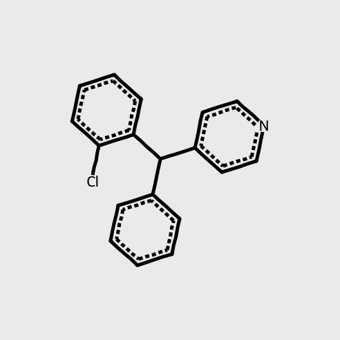 Clc1ccccc1C(c1ccccc1)c1ccncc1